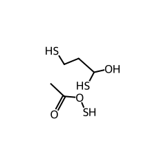 CC(=O)OS.OC(S)CCS